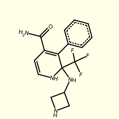 NC(=O)C1=C(c2ccccc2)C(NC2CNC2)(C(F)(F)F)NC=C1